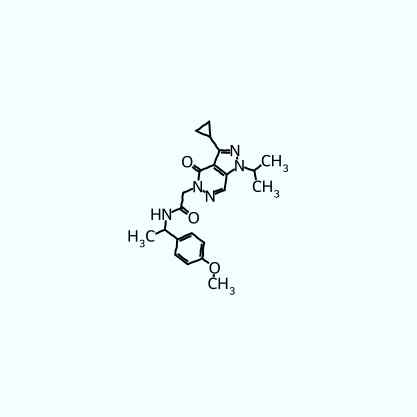 COc1ccc(C(C)NC(=O)Cn2ncc3c(c(C4CC4)nn3C(C)C)c2=O)cc1